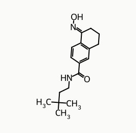 CC(C)(C)CCNC(=O)c1ccc2c(c1)CCCC2=NO